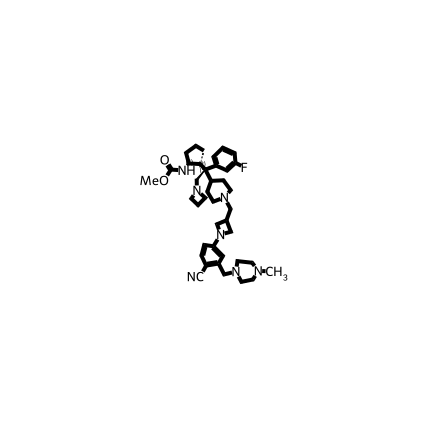 COC(=O)N[C@H]1CCC[C@@H]1[C@](CN1CCC1)(c1cccc(F)c1)C1CCN(CC2CN(c3ccc(C#N)c(CN4CCN(C)CC4)c3)C2)CC1